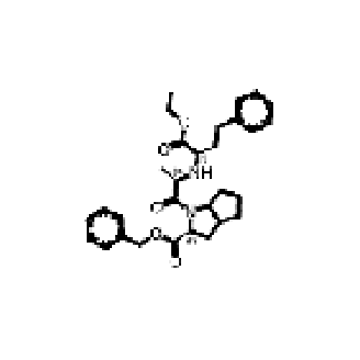 CCOC(=O)[C@@H](CCc1ccccc1)N[C@H](C)C(=O)N1C2CCCC2C[C@H]1C(=O)OCc1ccccc1